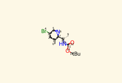 Cc1cc(Br)cnc1[C@H](C)NC(=O)OC(C)(C)C